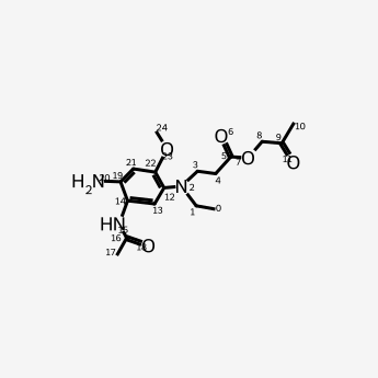 CCN(CCC(=O)OCC(C)=O)c1cc(NC(C)=O)c(N)cc1OC